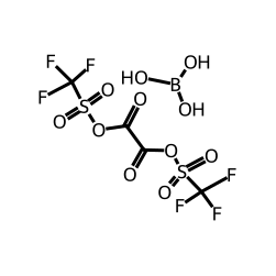 O=C(OS(=O)(=O)C(F)(F)F)C(=O)OS(=O)(=O)C(F)(F)F.OB(O)O